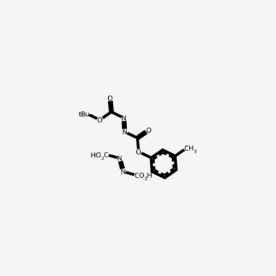 Cc1cccc(OC(=O)N=NC(=O)OC(C)(C)C)c1.O=C(O)N=NC(=O)O